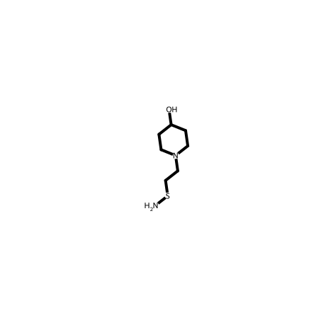 NSCCN1CCC(O)CC1